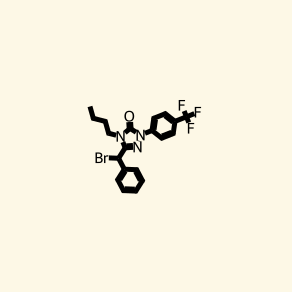 CCCCn1c(C(Br)c2ccccc2)nn(-c2ccc(C(F)(F)F)cc2)c1=O